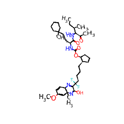 CC[C@@H](C)C(NC(=O)C(CCC1(C)CCCCC1)NC(=O)OC1CCC[C@H]1CCCCC(F)(F)C1=NC2C=CC(OC)=CC2(C)N=C1O)C(C)=O